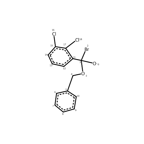 [O]C(Br)(OCc1ccccc1)c1cccc(Cl)c1Cl